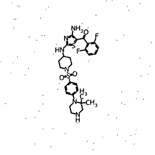 CC1(C)CNCCN1c1ccc(S(=O)(=O)N2CCC(Nc3nc(N)c(C(=O)c4c(F)cccc4F)s3)CC2)cc1